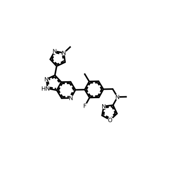 Cc1cc(CN(C)c2cocn2)cc(F)c1-c1cc2c(-c3cnn(C)c3)n[nH]c2cn1